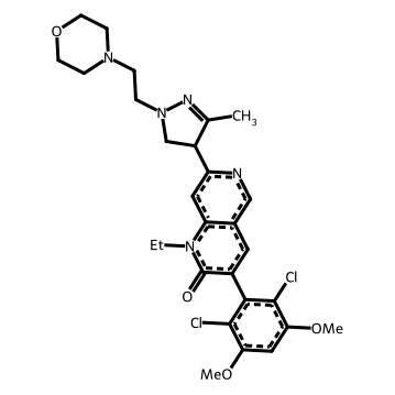 CCn1c(=O)c(-c2c(Cl)c(OC)cc(OC)c2Cl)cc2cnc(C3CN(CCN4CCOCC4)N=C3C)cc21